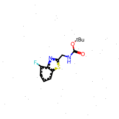 CC(C)(C)OC(=O)NCc1nc2c(F)cccc2s1